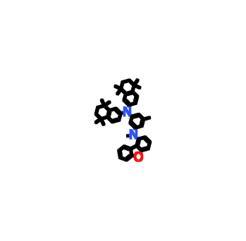 Cc1cc(N(C)c2cccc3oc4ccccc4c23)cc(N(c2ccc3c(c2)C(C)(C)CCC3(C)C)c2ccc3c(c2)C(C)(C)CCC3(C)C)c1